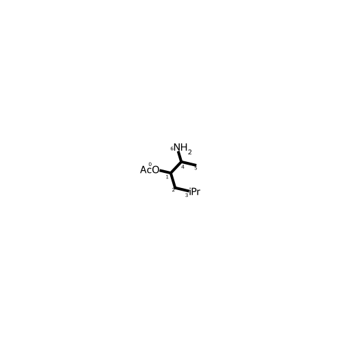 CC(=O)OC(CC(C)C)C(C)N